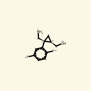 NC[C@@]1(c2cc(F)ccc2F)C[C@H]1CO